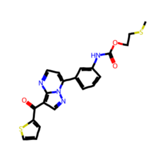 CSCCOC(=O)Nc1cccc(-c2ccnc3c(C(=O)c4cccs4)cnn23)c1